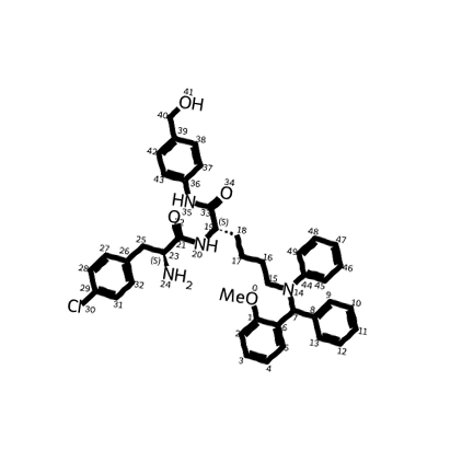 COc1ccccc1C(c1ccccc1)N(CCCC[C@H](NC(=O)[C@@H](N)Cc1ccc(Cl)cc1)C(=O)Nc1ccc(CO)cc1)c1ccccc1